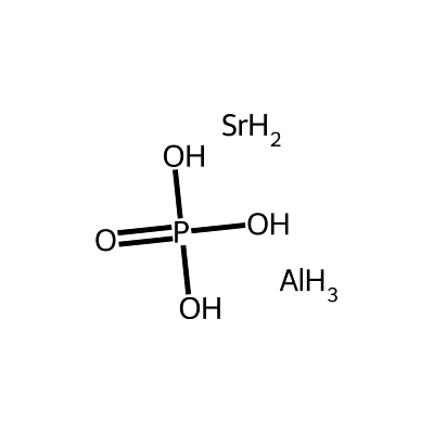 O=P(O)(O)O.[AlH3].[SrH2]